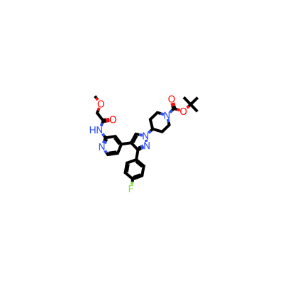 COCC(=O)Nc1cc(-c2cn(C3CCN(C(=O)OC(C)(C)C)CC3)nc2-c2ccc(F)cc2)ccn1